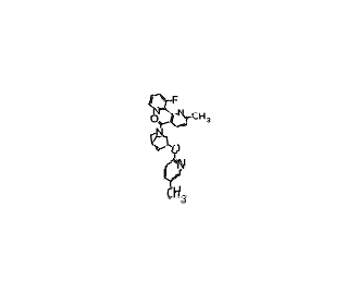 Cc1ccc(OC2CC3CC2N(C(=O)c2ccc(C)nc2-c2ncccc2F)C3)nc1